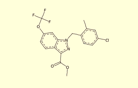 COC(=O)c1nn(Cc2ccc(Cl)cc2C)c2cc(OC(F)(F)F)ccc12